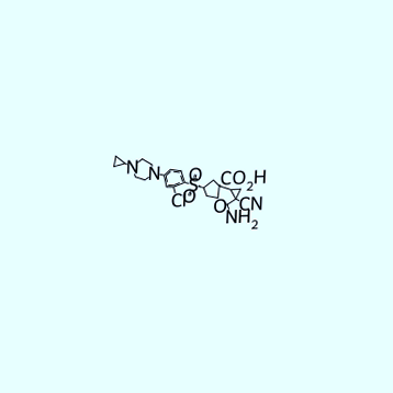 N#CC1(C(N)=O)CC1[C@]1(C(=O)O)CC[C@@H](S(=O)(=O)c2ccc(N3CCN(C4CC4)CC3)cc2Cl)C1